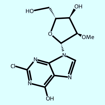 CO[C@@H]1[C@H](O)[C@@H](CO)O[C@H]1n1cnc2c(O)nc(Cl)nc21